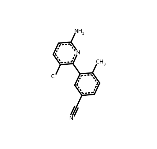 Cc1ccc(C#N)cc1-c1nc(N)ccc1Cl